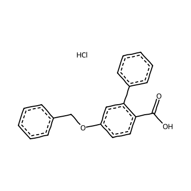 Cl.O=C(O)c1ccc(OCc2ccccc2)cc1-c1ccccc1